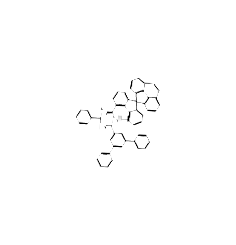 c1ccc(C2=NC(c3cc(-c4ccccc4)cc(-c4ccccc4)c3)NC(c3cccc4c3-c3ccccc3C43c4cccc5ccc6cccc3c6c45)=N2)cc1